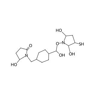 O=C1CCC(O)N1CC1CCC(C(O)ON2C(O)CC(S)C2O)CC1